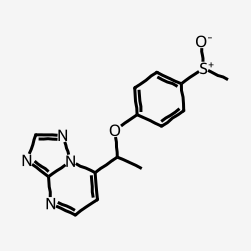 CC(Oc1ccc([S+](C)[O-])cc1)c1ccnc2ncnn12